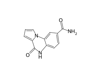 NC(=O)c1ccc2[nH]c(=O)c3cccn3c2c1